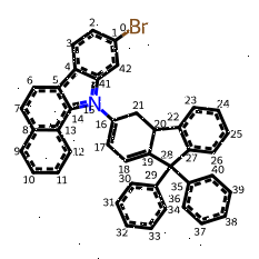 Brc1ccc2c3ccc4ccccc4c3n(C3=CC=C4C(C3)c3ccccc3C4(c3ccccc3)c3ccccc3)c2c1